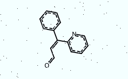 O=C/C=C(/c1ccccc1)c1ccccn1